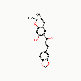 CC1(C)C=Cc2cc(C(=O)/C=C/c3ccc4c(c3)OCO4)c(O)cc2O1